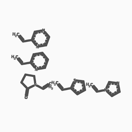 C=CN1CCCC1=O.C=Cc1ccccn1.C=Cc1cccs1.C=Cc1cnccn1.C=Cn1ccnc1